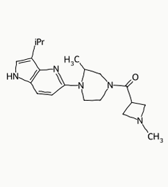 CC(C)c1c[nH]c2ccc(N3CCN(C(=O)C4CN(C)C4)CC3C)nc12